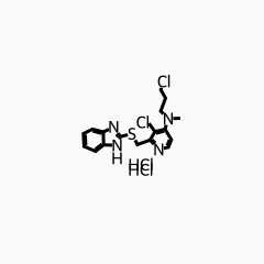 CN(CCCCl)c1ccnc(CSc2nc3ccccc3[nH]2)c1Cl.Cl.Cl